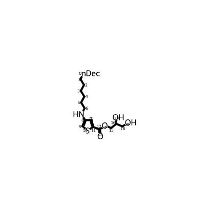 CCCCCCCCCCCCCCCCNc1csc(C(=O)OCC(O)CO)c1